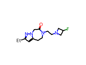 CCc1cc2n(n1)CC(=O)N(CCN1CC(F)C1)CC2